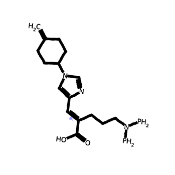 C=C1CCC(n2cnc(/C=C(\CCCN(P)P)C(=O)O)c2)CC1